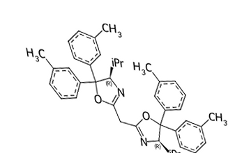 Cc1cccc(C2(c3cccc(C)c3)OC(CC3=N[C@H](C(C)C)C(c4cccc(C)c4)(c4cccc(C)c4)O3)=N[C@@H]2C(C)C)c1